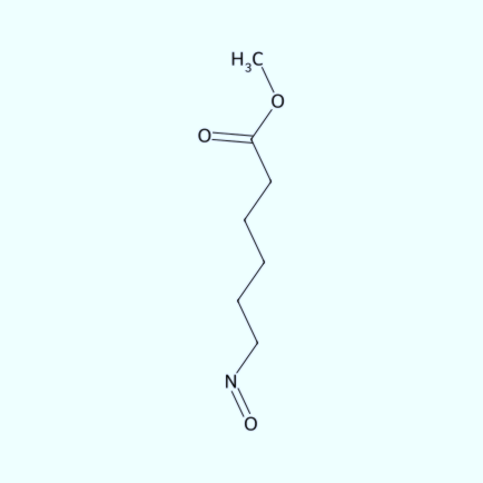 COC(=O)CCCCCN=O